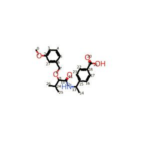 COc1cccc(COC(C(=O)NC(C)c2ccc(C(=O)O)cc2)C(C)C)c1